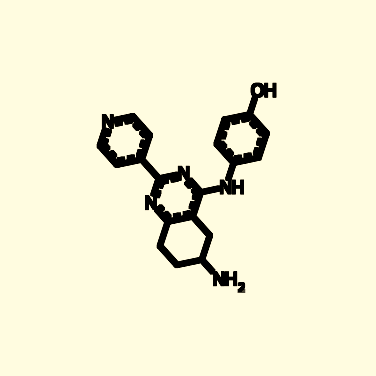 NC1CCc2nc(-c3ccncc3)nc(Nc3ccc(O)cc3)c2C1